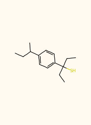 CCC(C)c1ccc(C(S)(CC)CC)cc1